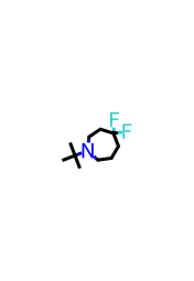 CC(C)(C)N1CCCC(F)(F)CC1